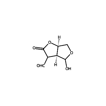 O=CC1C(=O)O[C@H]2COC(O)[C@@H]12